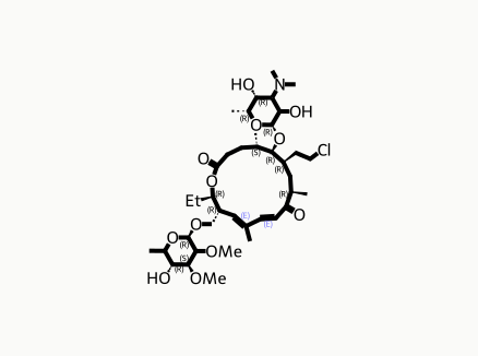 CC[C@H]1OC(=O)CC[C@H](C)[C@@H](O[C@@H]2O[C@H](C)[C@H](O)C(N(C)C)C2O)[C@@H](CCCl)C[C@@H](C)C(=O)/C=C/C(C)=C/[C@@H]1CO[C@@H]1OC(C)[C@@H](O)[C@H](OC)C1OC